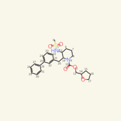 CS(=O)(=O)NC1CCCN(C(=O)OCC2CCCO2)C1Cc1cccc(-c2ccccc2)c1